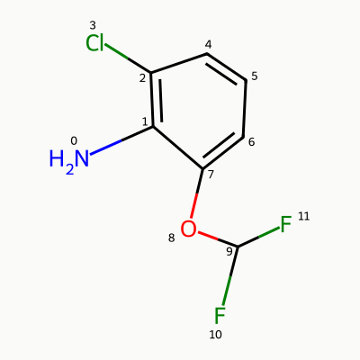 Nc1c(Cl)cccc1OC(F)F